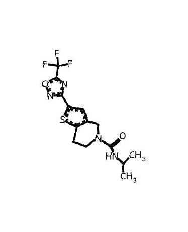 CC(C)NC(=O)N1CCc2sc(-c3noc(C(F)(F)F)n3)cc2C1